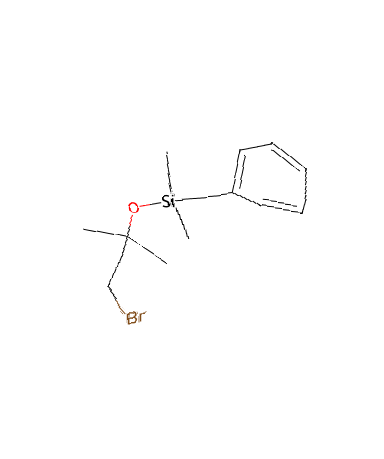 CC(C)(CBr)O[Si](C)(C)c1ccccc1